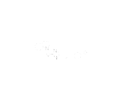 CCCn1c(CCCc2ccc(OC)cc2)cn(Cc2ccc3ccccc3n2)c1=O